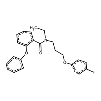 CCN(CCCOc1ccc(F)cc1)C(=O)c1ccccc1Oc1ccccc1